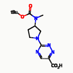 CN(C(=O)OC(C)(C)C)C1CCN(c2ncc(C(=O)O)nn2)C1